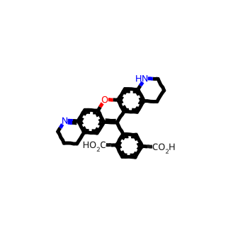 O=C(O)c1ccc(C(=O)O)c(C2=c3cc4c(cc3Oc3cc5c(cc32)CCCN5)=NCCC4)c1